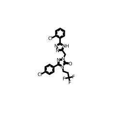 O=c1n(Cc2nnc(-c3ccccc3Cl)[nH]2)nc(-c2ccc(Cl)cc2)n1CCC(F)(F)F